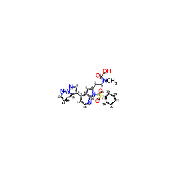 CN(CCc1cc2c(-c3cnn4ncccc34)ccnc2n1S(=O)(=O)c1ccccc1)C(=O)O